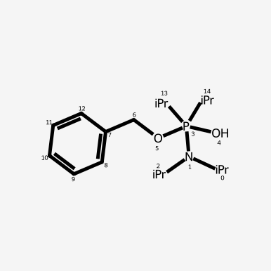 CC(C)N(C(C)C)P(O)(OCc1ccccc1)(C(C)C)C(C)C